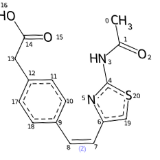 CC(=O)Nc1nc(/C=C\c2ccc(CC(=O)O)cc2)cs1